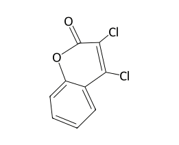 O=c1oc2ccccc2c(Cl)c1Cl